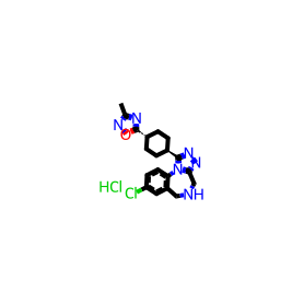 Cc1noc([C@H]2CC[C@H](c3nnc4n3-c3ccc(Cl)cc3CNC4)CC2)n1.Cl